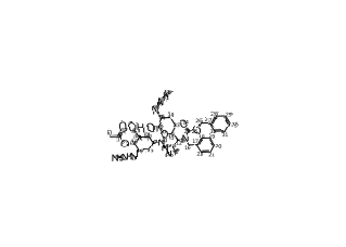 CC(=O)O[C@@H]1[C@@H](O)[C@H](O[C@H]2O[C@H](C(CF)N(Cc3ccccc3)C(=O)OCc3ccccc3)CC[C@H]2N=[N+]=[N-])[C@@H](N=[N+]=[N-])C[C@H]1N=[N+]=[N-]